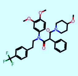 COc1ccc(N(CCc2ccc(C(F)(F)F)cc2)C(=O)C(C(=O)N2CCC(OC)CC2)c2ccccc2)cc1OC